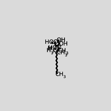 CCCCCCCCCCCCC(C)(C)C(C)(C)O[C@H]1[C@H](O)[C@@H](CO)OC(O)[C@@H]1O